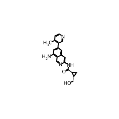 Cc1ccncc1-c1cc(N)c2cnc(NC(=O)[C@H]3C[C@@H]3CO)cc2c1